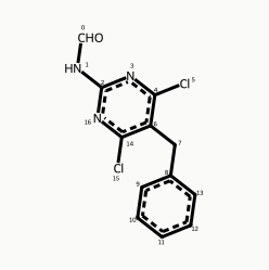 O=CNc1nc(Cl)c(Cc2ccccc2)c(Cl)n1